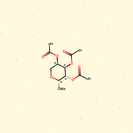 CCCC(=O)O[C@@H]1[C@H](OC)OC[C@@H](OC(=O)CCC)[C@H]1OC(=O)CCC